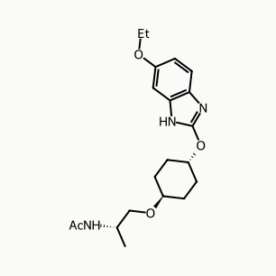 CCOc1ccc2nc(O[C@H]3CC[C@H](OC[C@H](C)NC(C)=O)CC3)[nH]c2c1